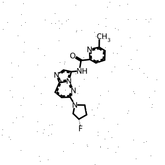 Cc1cccc(C(=O)Nc2cnc3ccc(N4CC[C@H](F)C4)nn23)n1